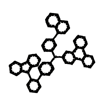 c1cc(-c2cccc3ccccc23)cc(N(c2ccc(-c3ccccc3-n3c4ccccc4c4ccccc43)cc2)c2ccc3c4ccccc4c4ccccc4c3c2)c1